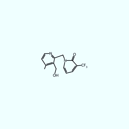 Cc1ccnc(Cn2cccc(C(F)(F)F)c2=O)c1CO